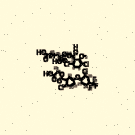 COc1c(Cl)ccc(Cl)c1C(=O)O.C[C@H](OC(=O)c1cc(Oc2ccc(C(F)(F)F)cc2Cl)ccc1Cl)C(=O)O.O=C(O)CNCP(=O)(O)O